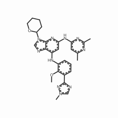 COc1c(Nc2cc(Nc3cc(C)nc(C)n3)nc3c2ncn3C2CCCCO2)cccc1-c1ncn(C)n1